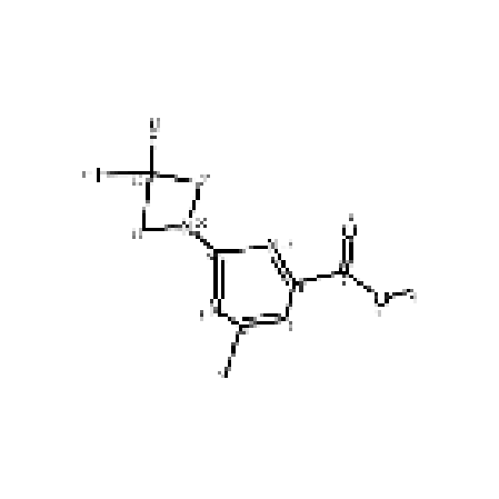 COC(=O)c1cc(C)nc(N2CC(F)(F)C2)n1